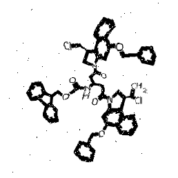 C=C(Cl)[C@@H]1CN(C(=O)CC(CC(=O)N2C[C@@H](CCl)c3c2cc(OCc2ccccc2)c2ccccc32)NC(=O)OCC2c3ccccc3-c3ccccc32)c2cc(OCc3ccccc3)c3ccccc3c21